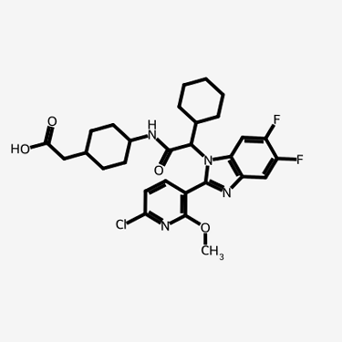 COc1nc(Cl)ccc1-c1nc2cc(F)c(F)cc2n1C(C(=O)NC1CCC(CC(=O)O)CC1)C1CCCCC1